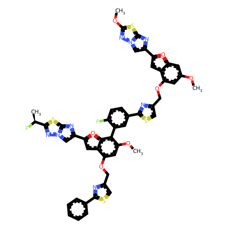 COc1cc(OCc2csc(-c3ccc(F)c(-c4c(OC)cc(OCc5csc(-c6ccccc6)n5)c5cc(-c6cn7nc([C@H](C)F)sc7n6)oc45)c3)n2)c2cc(-c3cn4nc(OC)sc4n3)oc2c1